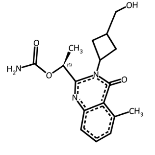 Cc1cccc2nc([C@H](C)OC(N)=O)n(C3CC(CO)C3)c(=O)c12